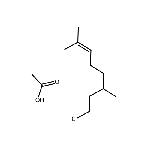 CC(=O)O.CC(C)=CCCC(C)CCCl